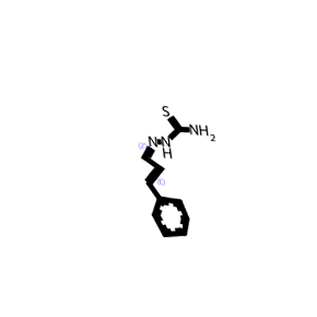 NC(=S)N/N=C\C=C\c1ccccc1